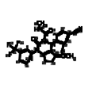 CNC(=O)N1C(=O)N(c2cc(C(F)(F)F)ccn2)C2=C(C(=O)CC2)C1c1ccc(C#N)cc1SC